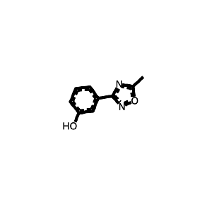 Cc1nc(-c2cccc(O)c2)no1